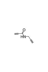 C#CCNC(=O)C#C